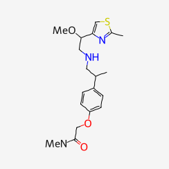 CNC(=O)COc1ccc(C(C)CNCC(OC)c2csc(C)n2)cc1